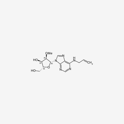 C=CCNc1ncnc2c1ncn2[C@@H]1O[C@H](CO)[C@@H](O)[C@H]1OC